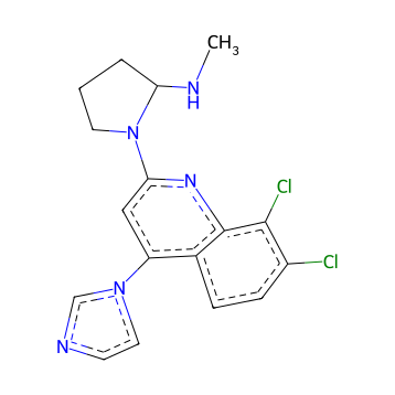 CNC1CCCN1c1cc(-n2ccnc2)c2ccc(Cl)c(Cl)c2n1